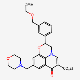 CCOC(=O)c1cn2c3c(cc(CN4CCOCC4)cc3c1=O)OC(c1cccc(COCOC)c1)C2